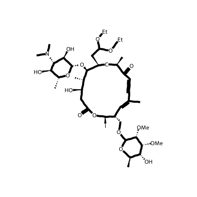 CCOC(C[C@H]1C[C@@H](C)C(=O)/C=C/C(C)=C/[C@H](COC2O[C@H](C)[C@@H](O)[C@@H](OC)[C@H]2OC)[C@@H](I)OC(=O)C[C@@H](O)[C@H](C)[C@H]1O[C@@H]1O[C@H](C)[C@@H](O)[C@H](N(C)C)[C@H]1O)OCC